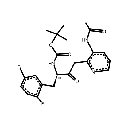 CC(=O)Nc1cccnc1CC(=O)[C@@H](Cc1cc(F)ccc1F)NC(=O)OC(C)(C)C